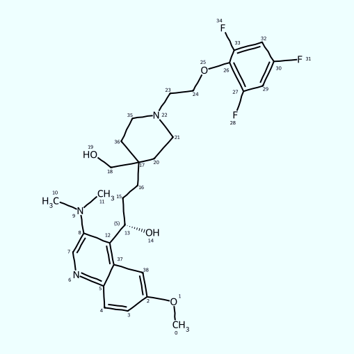 COc1ccc2ncc(N(C)C)c([C@@H](O)CCC3(CO)CCN(CCOc4c(F)cc(F)cc4F)CC3)c2c1